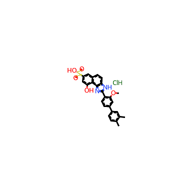 COc1cc(-c2ccc(C)c(C)c2)ccc1-c1nc2c(ccc3cc(S(=O)(=O)O)cc(O)c32)[nH]1.Cl